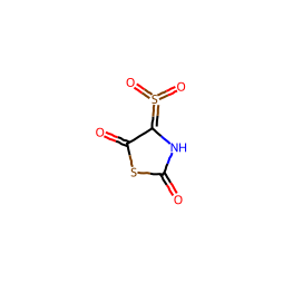 O=C1NC(=S(=O)=O)C(=O)S1